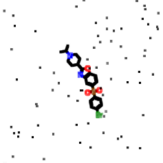 CC(C)N1CCC(c2nc3cc(S(=O)(=O)c4ccc(Br)cc4)ccc3o2)CC1